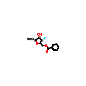 CO[C@H]1OC(COC(=O)c2ccccc2)[C@@H](F)[C@H]1O